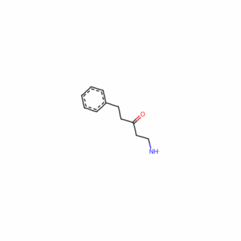 [NH]CCC(=O)CCc1ccccc1